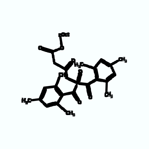 CCCCCCCCOC(=O)CC(=O)CP(=O)(C(=O)c1c(C)cc(C)cc1C)C(=O)c1c(C)cc(C)cc1C